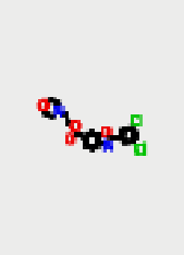 O=C(OCCN1CCOCC1)c1ccc2nc(-c3cc(Cl)cc(Cl)c3)oc2c1